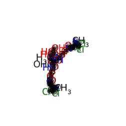 CN1Cc2c(Cl)cc(Cl)cc2C(c2ccc3c(c2)C(=O)N(CCOCCOCCNC(=O)CCC(CCC=O)(CCC(=O)NCCOCCOCCN2Cc4ccc(C5CN(C)Cc6c(Cl)cc(Cl)cc65)cc4C2=O)NC(=O)N(C)CC(O)C(O)C(O)CCO)C3)C1